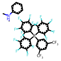 C[NH+](C)c1ccccc1.Fc1c(F)c(F)c([B-](c2cc(C(F)(F)F)cc(C(F)(F)F)c2)(c2c(F)c(F)c(F)c(F)c2F)c2c(F)c(F)c(F)c(F)c2F)c(F)c1F